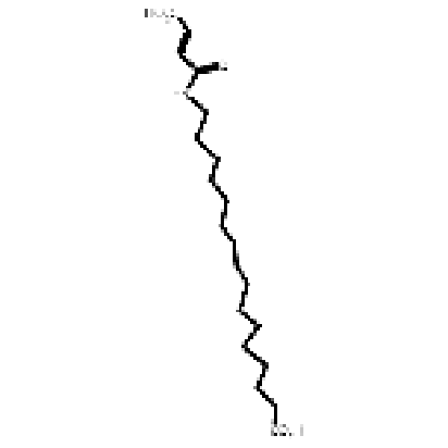 O=C(O)C=CC(=O)NCCCCCCCCCCCCCCCC(=O)O